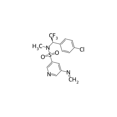 C=Nc1cncc(S(=O)(=O)N(C)[C@H](c2ccc(Cl)cc2)C(F)(F)F)c1